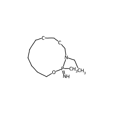 CCN1CCCCCCCCCCOP1(C)=N